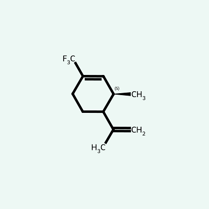 C=C(C)C1CCC(C(F)(F)F)=C[C@H]1C